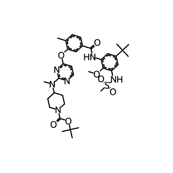 COc1c(NC(=O)c2ccc(C)c(Oc3ccnc(N(C)C4CCN(C(=O)OC(C)(C)C)CC4)n3)c2)cc(C(C)(C)C)cc1NS(C)(=O)=O